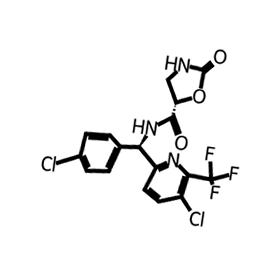 O=C1NC[C@@H](C(=O)N[C@H](c2ccc(Cl)cc2)c2ccc(Cl)c(C(F)(F)F)n2)O1